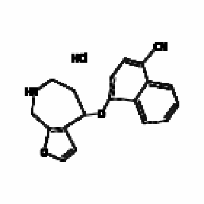 Cl.N#Cc1ccc(OC2CCNCc3occc32)c2ccccc12